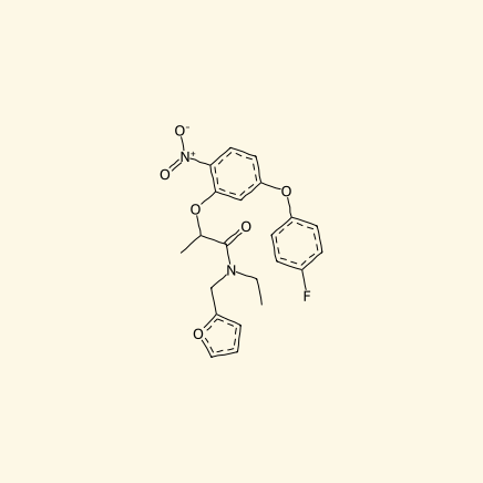 CCN(Cc1ccco1)C(=O)C(C)Oc1cc(Oc2ccc(F)cc2)ccc1[N+](=O)[O-]